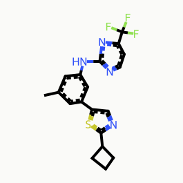 Cc1cc(Nc2nccc(C(F)(F)F)n2)cc(-c2cnc(C3CCC3)s2)c1